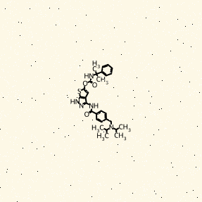 CC(C)N(Cc1ccc(C(=O)Nc2n[nH]c3sc(OC(=O)NC(C)(C)c4ccccc4)cc23)cc1)C(C)C